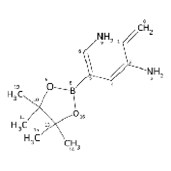 C=C/C(N)=C\C(=C/N)B1OC(C)(C)C(C)(C)O1